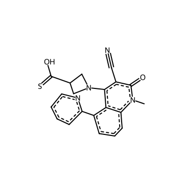 Cn1c(=O)c(C#N)c(N2CC(C(O)=S)C2)c2c(-c3ccccn3)cccc21